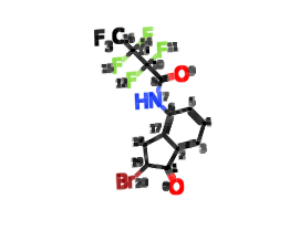 O=C1c2cccc(NC(=O)C(F)(F)C(F)(F)C(F)(F)F)c2CC1Br